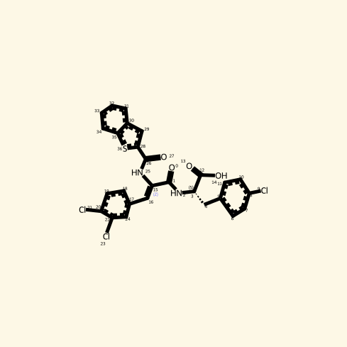 O=C(N[C@@H](Cc1ccc(Cl)cc1)C(=O)O)/C(=C/c1ccc(Cl)c(Cl)c1)NC(=O)c1cc2ccccc2s1